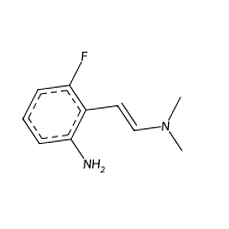 CN(C)/C=C/c1c(N)cccc1F